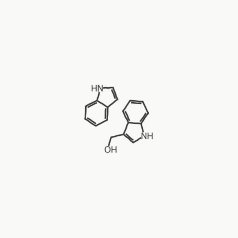 OCc1c[nH]c2ccccc12.c1ccc2[nH]ccc2c1